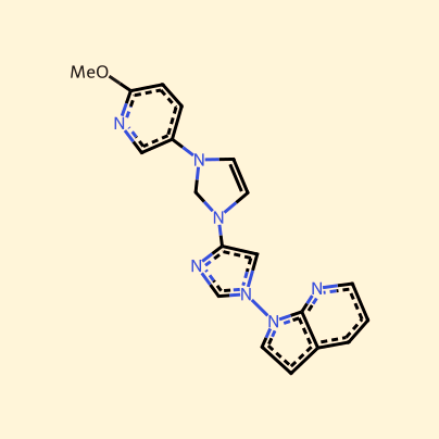 COc1ccc(N2C=CN(c3cn(-n4ccc5cccnc54)cn3)C2)cn1